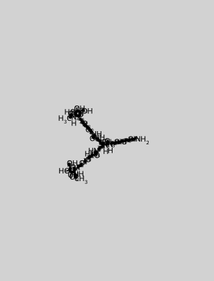 CC(=O)N[C@@H]1[C@@H](O)[C@@H](O)[C@@H](CO)O[C@@H]1CCCOCCOCCNC(=O)NCCCC(C)(CCCNC(=O)NCCOCCOCCC[C@H]1O[C@H](CO)[C@H](O)[C@H](O)[C@H]1NC(C)=O)NC(=O)NCCOCCOCCOCCN